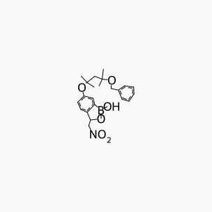 CC(C)(CC(C)(C)Oc1ccc2c(c1)B(O)OC2C[N+](=O)[O-])OCc1ccccc1